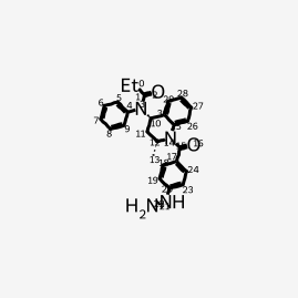 CCC(=O)N(c1ccccc1)[C@H]1C[C@@H](C)N(C(=O)c2ccc(NN)cc2)c2ccccc21